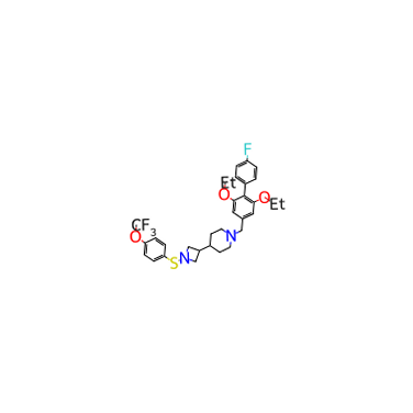 CCOc1cc(CN2CCC(C3CN(Sc4ccc(OC(F)(F)F)cc4)C3)CC2)cc(OCC)c1-c1ccc(F)cc1